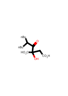 CCCCC(CCCC)C(=O)C(O)(CC(=O)O)C(=O)O